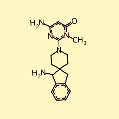 Cn1c(N2CCC3(CC2)Cc2ccccc2C3N)nc(N)cc1=O